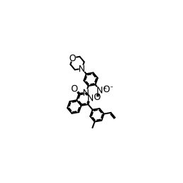 C=Cc1cc(C)cc(-c2nn(-c3cc(N4CCOCC4)ccc3[N+](=O)[O-])c(=O)c3ccccc23)c1